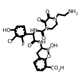 NCCN1CCN(C(=O)NC(C(=O)NC2Cc3cccc(C(=O)O)c3OB2O)c2ccc(O)c(Cl)c2F)C(=O)C1=O